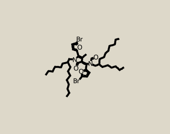 CCCCCCCCC(CCCCCC)CN1C(=O)/C(=C(\c2ccc(Br)o2)N(C=O)CC(CCCCCC)CCCCCCCC)C(C)=C1c1ccc(Br)o1